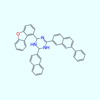 c1ccc(-c2ccc3ccc(C4=NC(c5cccc6oc7ccccc7c56)NC(c5ccc6ccccc6c5)N4)cc3c2)cc1